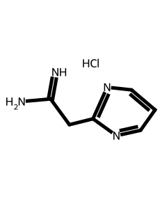 Cl.N=C(N)Cc1ncccn1